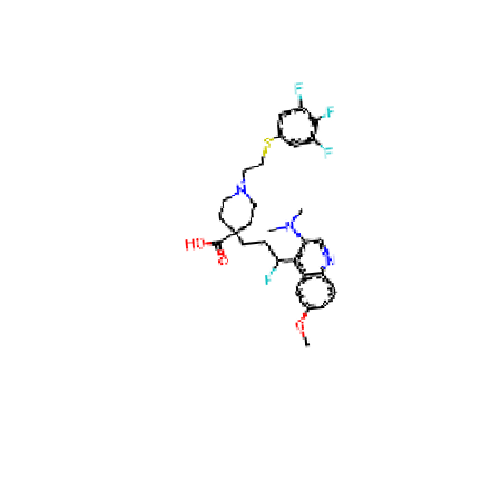 COc1ccc2ncc(N(C)C)c(C(F)CCC3(C(=O)O)CCN(CCSc4cc(F)c(F)c(F)c4)CC3)c2c1